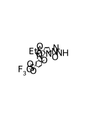 CCS(=O)(=O)c1ccc(-n2nc[nH]c2=O)nc1-c1nc2cc(S(=O)(=O)C(F)(F)F)ccc2o1